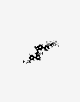 COc1cc(F)cc(-c2ccnc3[nH]c(-c4n[nH]c5ccc(-c6cncc(NC(=O)C(C)(C)C)c6)cc45)cc23)c1